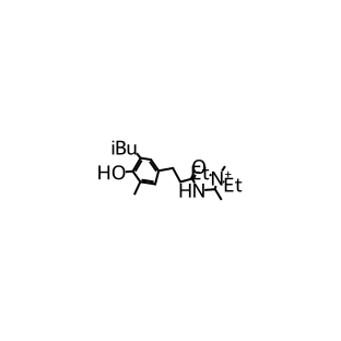 CCC(C)c1cc(CCC(=O)NC(C)[N+](C)(CC)CC)cc(C)c1O